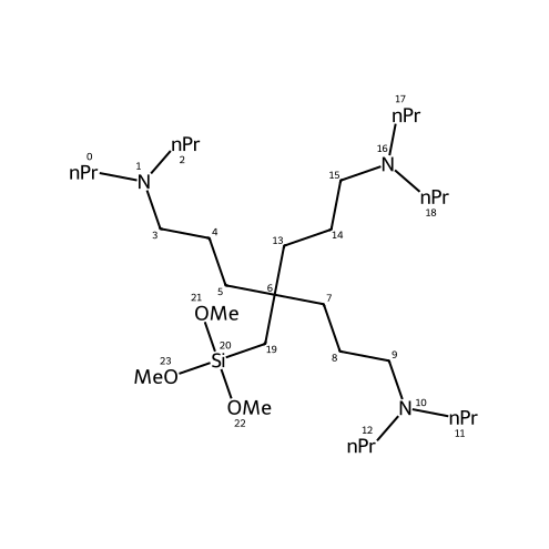 CCCN(CCC)CCCC(CCCN(CCC)CCC)(CCCN(CCC)CCC)C[Si](OC)(OC)OC